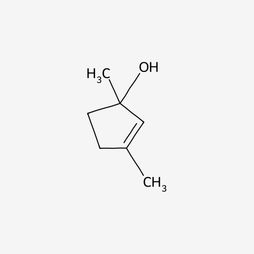 CC1=CC(C)(O)CC1